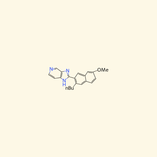 CCCCc1cc2ccc(OC)cc2cc1-c1nc2cnccc2[nH]1